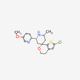 COc1ccc(C2CC3(CC(C)N2)OCCc2cc(Cl)sc23)nc1